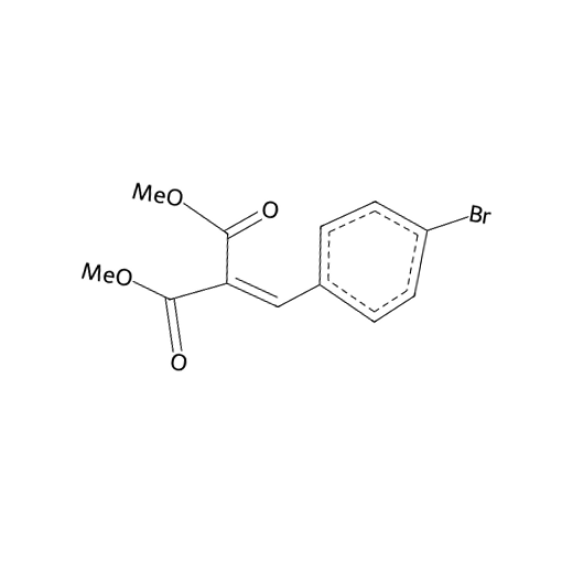 COC(=O)C(=Cc1ccc(Br)cc1)C(=O)OC